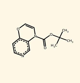 CC(C)(C)OC(=O)N1C=COc2ccncc21